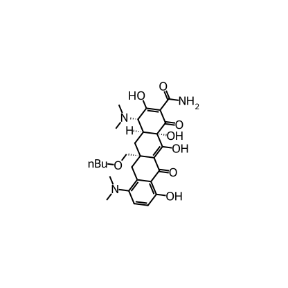 CCCCOC[C@@]12Cc3c(N(C)C)ccc(O)c3C(=O)C1=C(O)[C@]1(O)C(=O)C(C(N)=O)=C(O)[C@@H](N(C)C)[C@@H]1C2